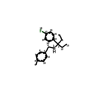 CCC(BCc1ccc(C)cc1)(CC)c1ccc(F)cc1